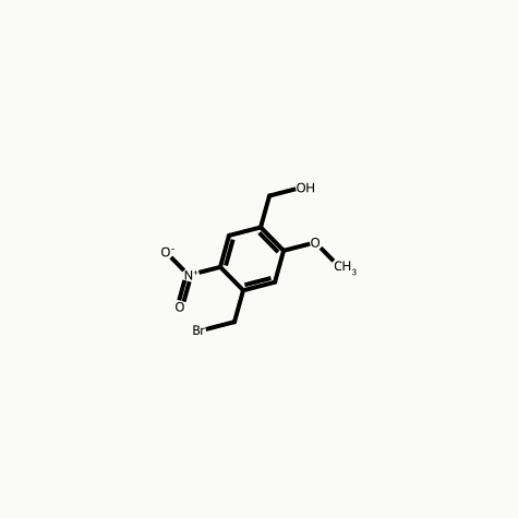 COc1cc(CBr)c([N+](=O)[O-])cc1CO